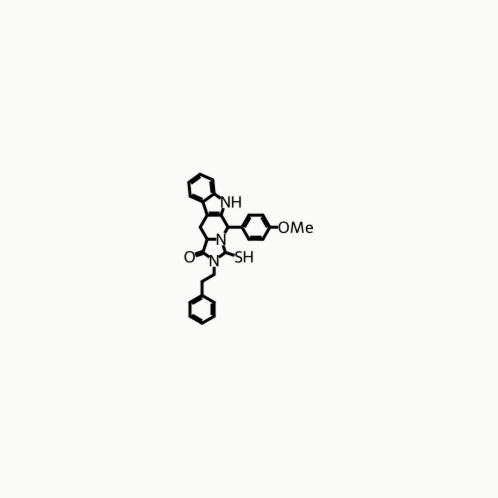 COc1ccc(C2c3[nH]c4ccccc4c3CC3C(=O)N(CCc4ccccc4)C(S)N32)cc1